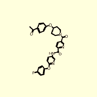 CC(=O)c1ccc(OC2CCN(C(=O)c3ccc(C(=O)Nc4ccc(Oc5ccc(F)cc5)nc4)nc3)CC2)cc1